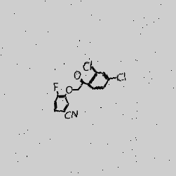 N#Cc1ccc(F)c(OCC(=O)c2ccc(Cl)cc2Cl)c1